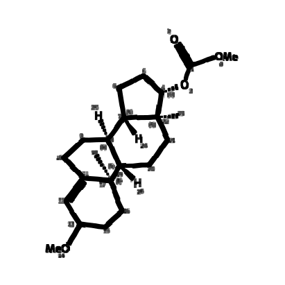 COC(=O)O[C@H]1CC[C@H]2[C@@H]3CCC4=CC(OC)CC[C@]4(C)[C@H]3CC[C@]12C